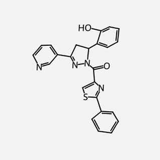 O=C(c1csc(-c2ccccc2)n1)N1N=C(c2cccnc2)CC1c1ccccc1O